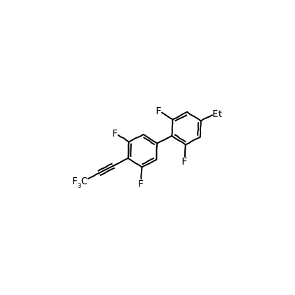 CCc1cc(F)c(-c2cc(F)c(C#CC(F)(F)F)c(F)c2)c(F)c1